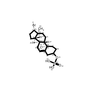 CC(=O)[C@H]1CC[C@H]2[C@@H]3CC=C4CC(OP(=O)(O)O)CC[C@]4(C)[C@H]3CC[C@]12C